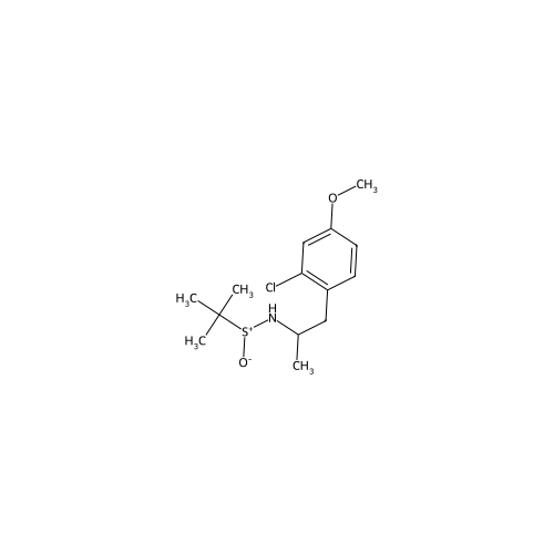 COc1ccc(CC(C)N[S+]([O-])C(C)(C)C)c(Cl)c1